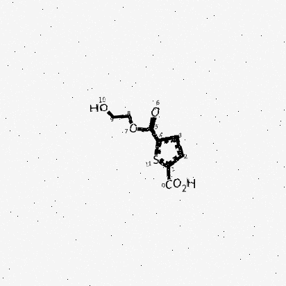 O=C(O)c1ccc(C(=O)OCCO)s1